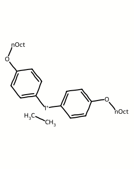 CC.CCCCCCCCOc1ccc([I+]c2ccc(OCCCCCCCC)cc2)cc1